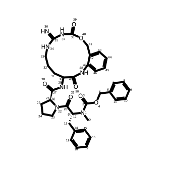 CN(C(=O)OCc1ccccc1)[C@H](Cc1ccccc1)C(=O)N1CCC[C@H]1C(=O)NC1CCCNC(=N)NC(=O)OCc2ccccc2NC1=O